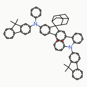 CC1(C)c2ccccc2-c2ccc(N(c3ccccc3)c3ccc4c(c3)C3(c5cc(-c6ccccc6N(c6ccccc6)c6ccc7c(c6)C(C)(C)c6ccccc6-7)ccc5-4)C4CC5CC(C4)CC3C5)cc21